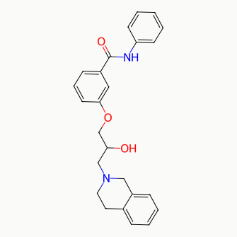 O=C(Nc1ccccc1)c1cccc(OCC(O)CN2CCc3ccccc3C2)c1